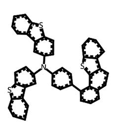 c1cc(-c2ccc(N(c3ccc4sc5ccccc5c4c3)c3ccc4sc5ccccc5c4c3)cc2)c2c(c1)ccc1c3ccccc3sc12